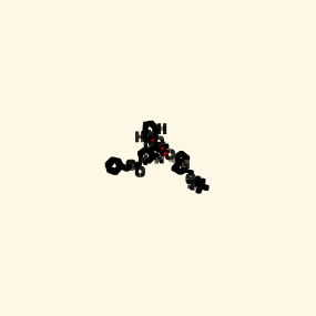 CC(C)(C)OC(=O)N1[C@@H]2CC[C@H]1CN(c1nc(OC[C@]34CCCN3[C@@H](CO[Si](C)(C)C(C)(C)C)CC4)nc3c1CCN(C(=O)OCc1ccccc1)C3)C2